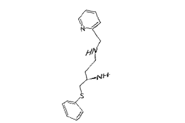 [NH][C@H](CCNCc1ccccn1)CSc1ccccc1